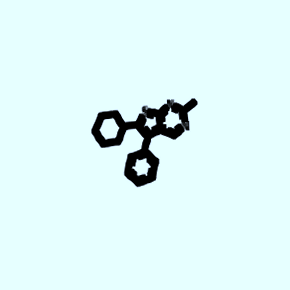 Cc1n[c]c2c(-c3ccccc3)c(C3CCCCC3)sc2n1